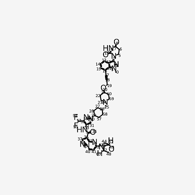 Cn1nc(N2CCC(=O)NC2=O)c2cccc(C#CCOC3CCN(C[C@H]4CC[C@H](n5cc(NC(=O)c6cnn7ccc(N8C[C@H]9C[C@@H]8CO9)nc67)c(C(F)F)n5)CC4)CC3)c21